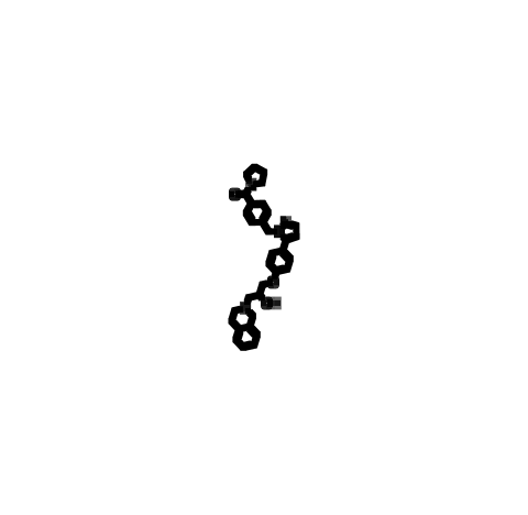 O=C(c1ccc(Cn2nccc2-c2ccc(OCC(O)CN3CCc4ccccc4C3)cc2)cc1)N1CCCC1